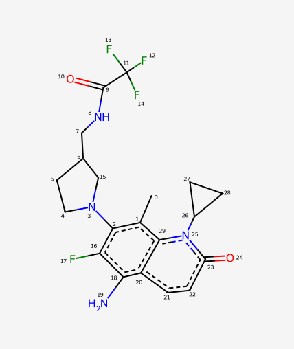 Cc1c(N2CCC(CNC(=O)C(F)(F)F)C2)c(F)c(N)c2ccc(=O)n(C3CC3)c12